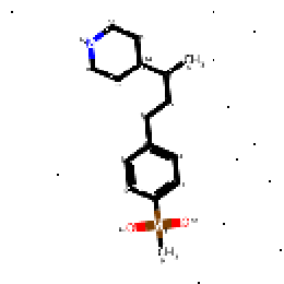 CC(CCc1ccc(S(C)(=O)=O)cc1)C1CC[N]CC1